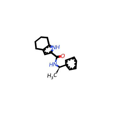 C[C@@H](NC(=O)c1cc2c([nH]1)CCCC2)c1ccccc1